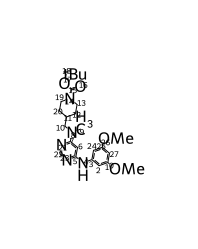 COc1cc(Nc2cc(N(C)CC3CCN(C(=O)OC(C)(C)C)CC3)ncn2)cc(OC)c1